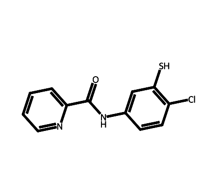 O=C(Nc1ccc(Cl)c(S)c1)c1ccccn1